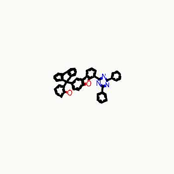 c1ccc(-c2nc(-c3ccccc3)nc(-c3cccc4c3oc3cc5c(cc34)C3(c4ccccc4O5)c4ccccc4-c4ccccc43)n2)cc1